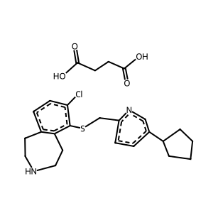 Clc1ccc2c(c1SCc1ccc(C3CCCC3)cn1)CCNCC2.O=C(O)CCC(=O)O